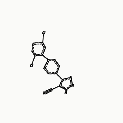 N#Cc1[nH]nnc1-c1ccc(-c2cc(Cl)ccc2Cl)cc1